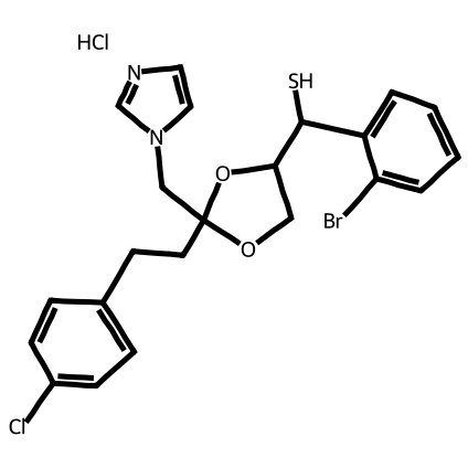 Cl.SC(c1ccccc1Br)C1COC(CCc2ccc(Cl)cc2)(Cn2ccnc2)O1